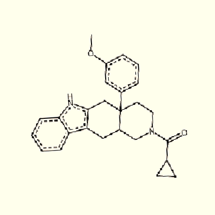 COc1cccc(C23CCN(C(=O)C4CC4)CC2Cc2c([nH]c4ccccc24)C3)c1